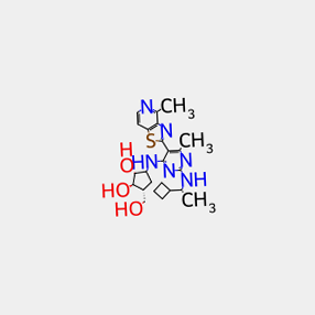 Cc1nc(N[C@H](C)C2CCC2)nc(NC2C[C@H](CO)[C@@H](O)[C@H]2O)c1-c1nc2c(C)nccc2s1